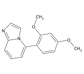 COc1ccc(-c2cccc3nccn23)c(OC)c1